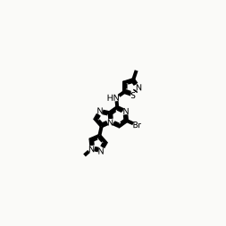 Cc1cc(Nc2nc(Br)cn3c(-c4cnn(C)c4)cnc23)sn1